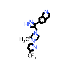 C[C@@H]1CN(Cc2c[nH]nc2-c2ccc3ccncc3c2)CCN1c1ccc(C(F)(F)F)cn1